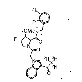 [2H]C([2H])([2H])C(=O)c1cn(CC(=O)N2C[C@H](F)[C@@H](OC)[C@H]2C(=O)NCc2cccc(Cl)c2F)c2ccccc12